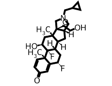 C[C@]12C=CC(=O)C=C1[C@@H](F)C[C@H]1[C@@H]3C[C@H]4CN(CC5CC5)C[C@@]4(C(=O)CO)[C@@]3(C)C[C@H](O)[C@@]12F